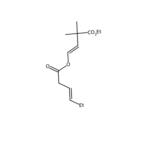 CCC=CCC(=O)OC=CC(C)(C)C(=O)OCC